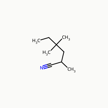 CCC(C)(C)CC(C)C#N